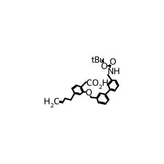 C=CCCc1ccc(CC(=O)O)c(OCc2cccc(-c3cccc(CNC(=O)OC(C)(C)C)c3)c2)c1